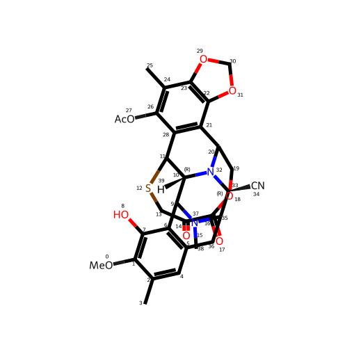 COc1c(C)cc2c(c1O)C1[C@@H]3C4SCC(=O)C(=O)OCC(c5c6c(c(C)c(OC(C)=O)c54)OCO6)N3[C@@H](C#N)C(C2)N1C